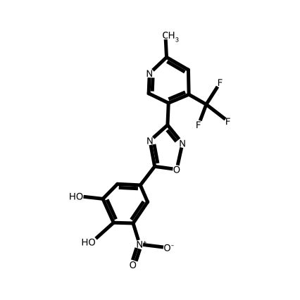 Cc1cc(C(F)(F)F)c(-c2noc(-c3cc(O)c(O)c([N+](=O)[O-])c3)n2)cn1